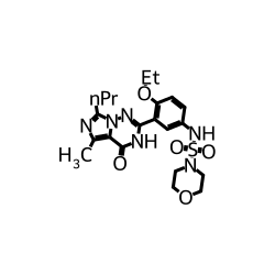 CCCc1nc(C)c2c(=O)[nH]c(-c3cc(NS(=O)(=O)N4CCOCC4)ccc3OCC)nn12